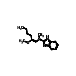 CCCC/C(=C\N(C)c1nc2ccccc2[nH]1)OC